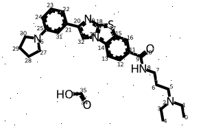 CCN(CC)CCCNC(=O)c1ccc2c(c1)sc1nc(-c3cccc(N4CCCC4)c3)cn12.O=CO